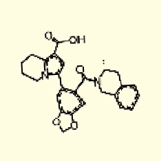 C[C@@H]1Cc2ccccc2CN1C(=O)c1cc2c(cc1-c1cc(C(=O)O)c3n1CCCC3)OCO2